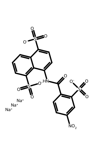 O=C(Nc1ccc(S(=O)(=O)[O-])c2cccc(S(=O)(=O)[O-])c12)c1ccc([N+](=O)[O-])cc1S(=O)(=O)[O-].[Na+].[Na+].[Na+]